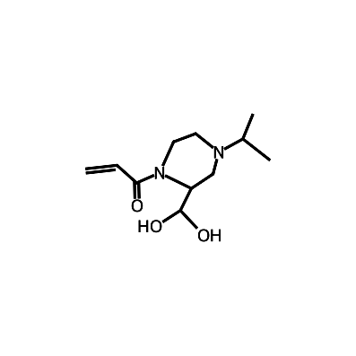 C=CC(=O)N1CCN(C(C)C)CC1C(O)O